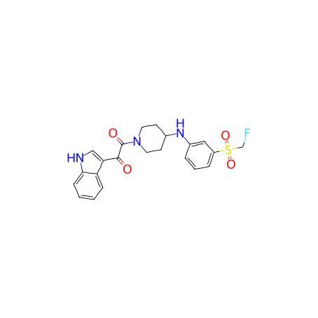 O=C(C(=O)N1CCC(Nc2cccc(S(=O)(=O)CF)c2)CC1)c1c[nH]c2ccccc12